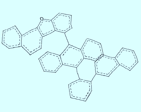 c1ccc(-c2c3ccccc3c(-c3cccc4oc5c6ccccc6ccc5c34)c3ccccc23)c(-c2ccc3ccccc3c2)c1